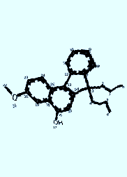 CCCC1(CCC)c2ccccc2-c2c1cc(O)c1cc(OC)ccc21